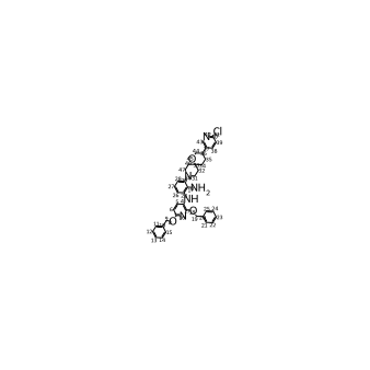 Nc1c(Nc2ccc(OCc3ccccc3)nc2OCc2ccccc2)cccc1N1CCC2(CCC(c3ccc(Cl)nc3)CO2)CC1